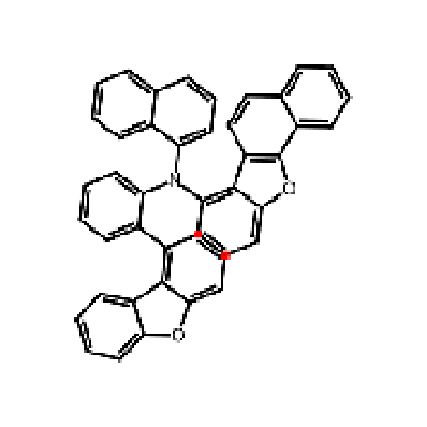 c1ccc(N(c2cccc3ccccc23)c2cccc3oc4c5ccccc5ccc4c23)c(-c2cccc3oc4ccccc4c23)c1